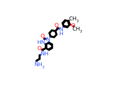 COc1cc(NC(=O)C2CCC(n3c(=O)[nH]c4c(C(=O)NCCCN)cccc43)CC2)ccc1C